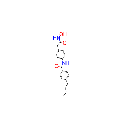 CCCCc1ccc(C(=O)Nc2ccc(CC(=O)NO)cc2)cc1